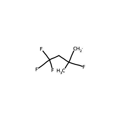 [CH2]C(C)(F)CC(F)(F)F